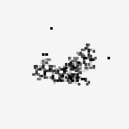 [CH2]=[Zr]([Cl])([Cl])([CH]1C(C)=Cc2c(-c3cccc4ccccc34)cccc21)[CH]1C(C)=Cc2c(-c3cccc4ccccc34)cccc21